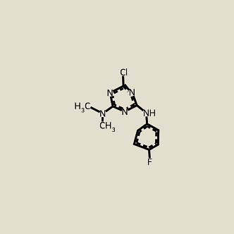 CN(C)c1nc(Cl)nc(Nc2ccc(F)cc2)n1